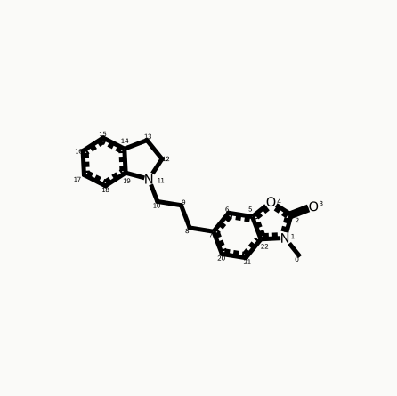 Cn1c(=O)oc2cc(CCCN3CCc4ccccc43)ccc21